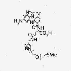 CSCCC(C)(C)OCCC(C)(C)n1cc(CNC(=O)CCC(NC(=O)c2ccc(N(C)Cc3cnc4nc(N)nc(N)c4n3)cc2)C(=O)O)nn1